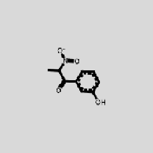 CC(C(=O)c1cccc(O)c1)[N+](=O)[O-]